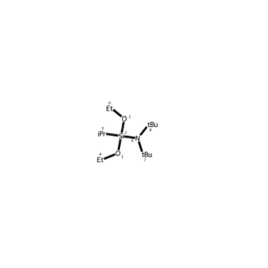 CCO[Si](OCC)(C(C)C)N(C(C)(C)C)C(C)(C)C